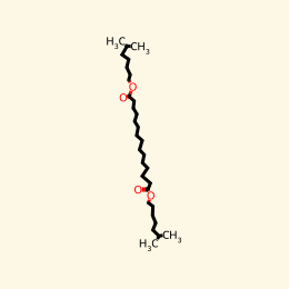 CC(C)CCCCCOC(=O)CCCCCCCCCCCCCC(=O)OCCCCCC(C)C